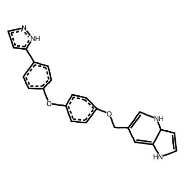 C1=CC2NC=C(COc3ccc(Oc4ccc(-c5ccn[nH]5)cc4)cc3)C=C2N1